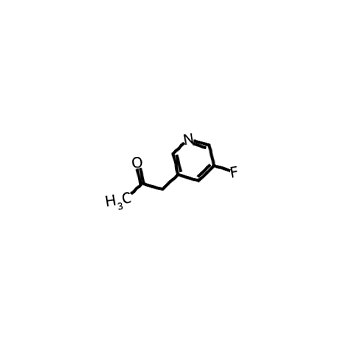 CC(=O)Cc1cncc(F)c1